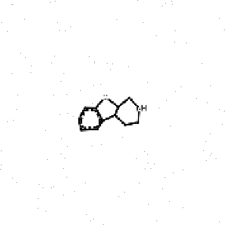 [c]1ccc2c(c1)C1CCNCC1O2